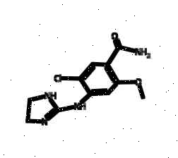 COc1cc(NC2=NCCN2)c(Cl)cc1C(N)=O